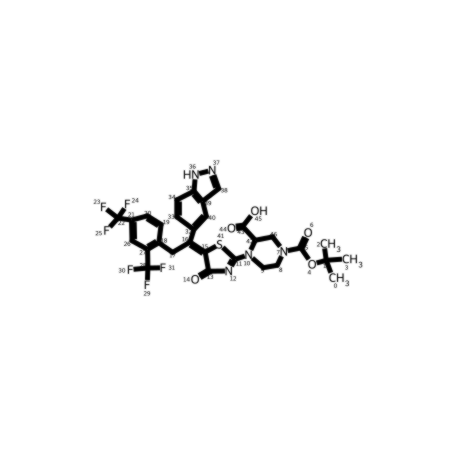 CC(C)(C)OC(=O)N1CCN(C2=NC(=O)C(=C(Cc3ccc(C(F)(F)F)cc3C(F)(F)F)c3ccc4[nH]ncc4c3)S2)C(C(=O)O)C1